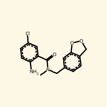 CN(Cc1ccc2c(c1)OOC2)C(=O)c1cc(Cl)ccc1N